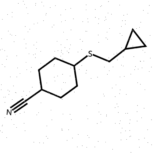 N#CC1CCC(SCC2CC2)CC1